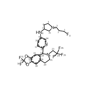 FCCCN1CCC(Nc2ccc(C3c4cc5c(cc4CCN3CC(F)(F)F)OC(F)(F)O5)nc2)C1